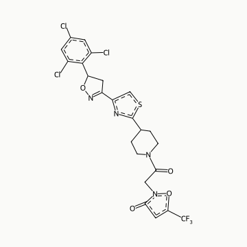 O=C(Cn1oc(C(F)(F)F)cc1=O)N1CCC(c2nc(C3=NOC(c4c(Cl)cc(Cl)cc4Cl)C3)cs2)CC1